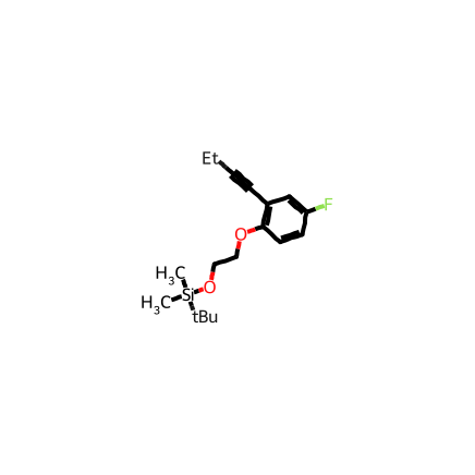 CCC#Cc1cc(F)ccc1OCCO[Si](C)(C)C(C)(C)C